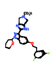 O=C(O)N1Cc2nc(-c3nn(C4CCCCO4)c4ccc(OCCc5cc(F)cc(F)c5)cc34)[nH]c2C1